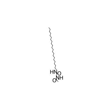 CCCCCCCCCCCCCCCCCCCCCCNC(=O)CNC(C)=O